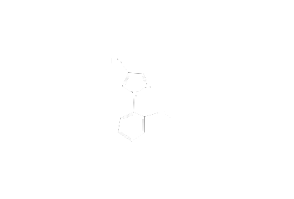 COc1ccccc1-n1cc(N)cn1